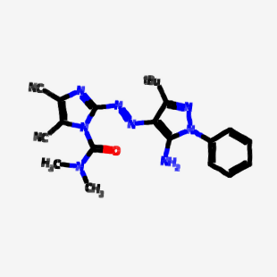 CN(C)C(=O)n1c(/N=N/c2c(C(C)(C)C)nn(-c3ccccc3)c2N)nc(C#N)c1C#N